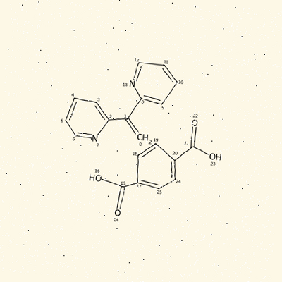 C=C(c1ccccn1)c1ccccn1.O=C(O)c1ccc(C(=O)O)cc1